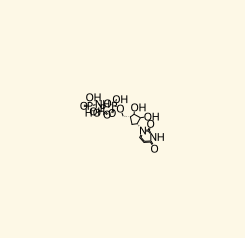 O=c1ccn([C@@H]2C[C@H](COP(=O)(O)OP(=O)(O)NP(=O)(O)O)C(O)C2O)c(=O)[nH]1